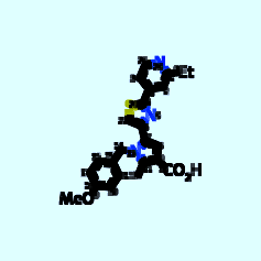 CCc1cc(-c2nc(-c3cc(C(=O)O)c(C)n3Cc3ccc(OC)cc3)cs2)ccn1